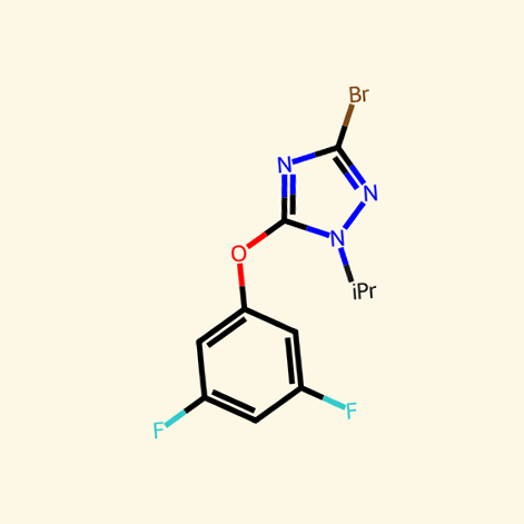 CC(C)n1nc(Br)nc1Oc1cc(F)cc(F)c1